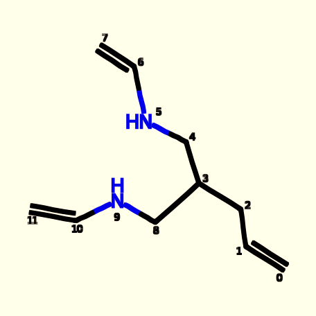 C=CCC(CNC=C)CNC=C